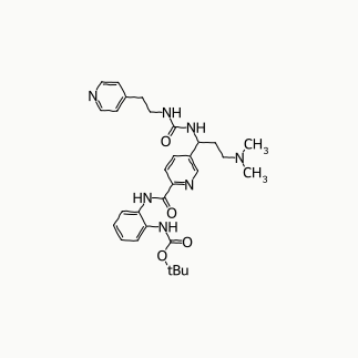 CN(C)CCC(NC(=O)NCCc1ccncc1)c1ccc(C(=O)Nc2ccccc2NC(=O)OC(C)(C)C)nc1